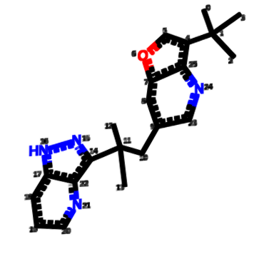 CC(C)(C)c1coc2cc(CC(C)(C)c3n[nH]c4cccnc34)cnc12